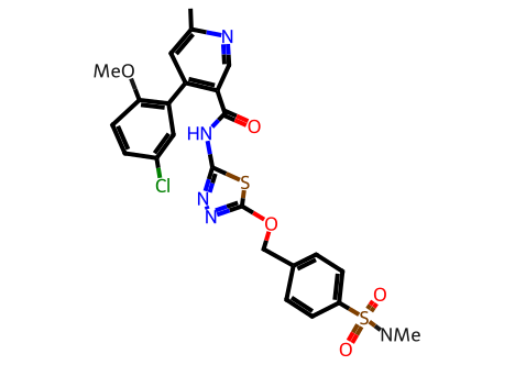 CNS(=O)(=O)c1ccc(COc2nnc(NC(=O)c3cnc(C)cc3-c3cc(Cl)ccc3OC)s2)cc1